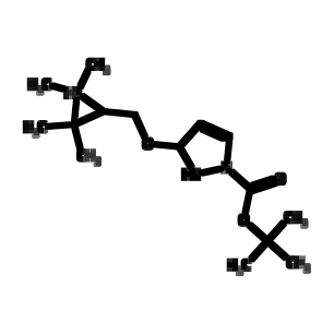 CC(C)(C)OC(=O)N1C=CC(OCC2C(C)(C)[PH]2(C)C)N1